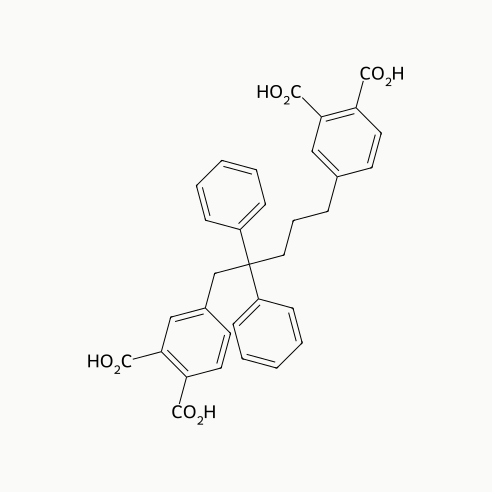 O=C(O)c1ccc(CCCC(Cc2ccc(C(=O)O)c(C(=O)O)c2)(c2ccccc2)c2ccccc2)cc1C(=O)O